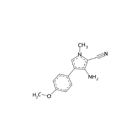 COc1ccc(-c2cn(C)c(C#N)c2N)cc1